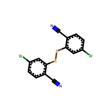 N#Cc1ccc(Br)cc1SSc1cc(Br)ccc1C#N